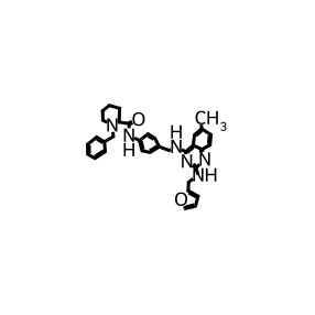 Cc1ccc2nc(NCc3ccco3)nc(NCc3ccc(NC(=O)C4CCCCN4Cc4ccccc4)cc3)c2c1